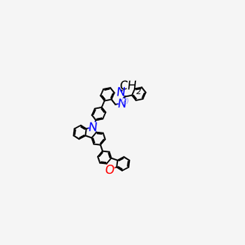 C=N/C(=N\Cc1ccccc1-c1ccc(-n2c3ccccc3c3cc(-c4ccc5oc6ccccc6c5c4)ccc32)cc1)c1ccccc1